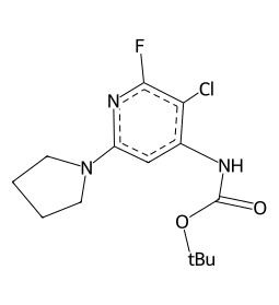 CC(C)(C)OC(=O)Nc1cc(N2CCCC2)nc(F)c1Cl